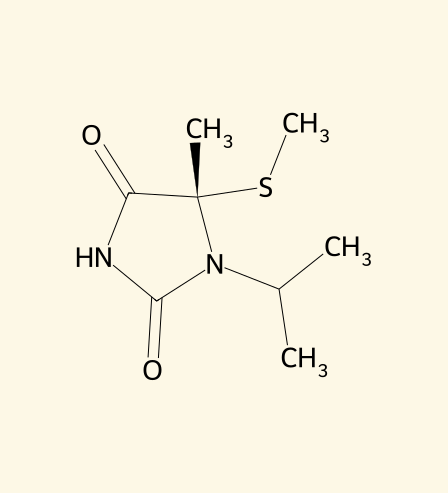 CS[C@@]1(C)C(=O)NC(=O)N1C(C)C